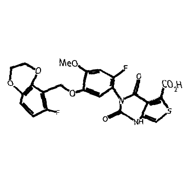 COc1cc(F)c(-n2c(=O)[nH]c3csc(C(=O)O)c3c2=O)cc1OCc1c(F)ccc2c1OCCO2